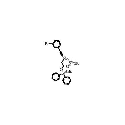 CC(C)(C)[S@@+]([O-])N[C@H](C#Cc1cccc(Br)c1)CCO[Si](c1ccccc1)(c1ccccc1)C(C)(C)C